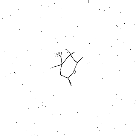 CC1CC(C)(O)C(C)(C)C(C)O1